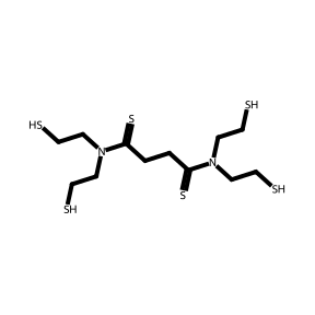 S=C(CCC(=S)N(CCS)CCS)N(CCS)CCS